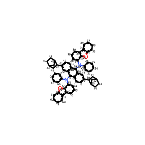 c1ccc(N(c2c3ccc(C4CC5CCC4C5)cc3c(N(c3ccccc3)c3cccc4c3oc3ccccc34)c3ccc(C4CC5CCC4C5)cc23)c2cccc3c2oc2ccccc23)cc1